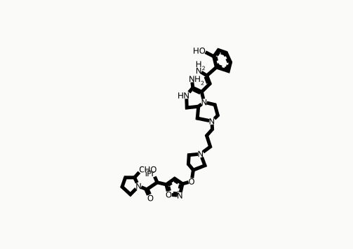 CC(C)C(C(=O)N1CCCC1C=O)c1cc(OC2CCN(CCCN3CCN4C(/C=C(\N)c5ccccc5O)=C(N)NCC4C3)C2)no1